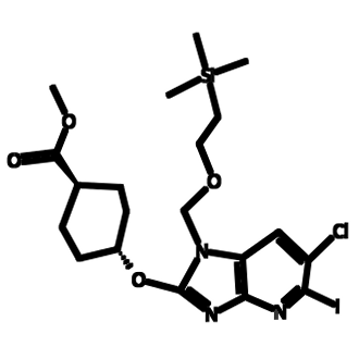 COC(=O)[C@H]1CC[C@H](Oc2nc3nc(I)c(Cl)cc3n2COCC[Si](C)(C)C)CC1